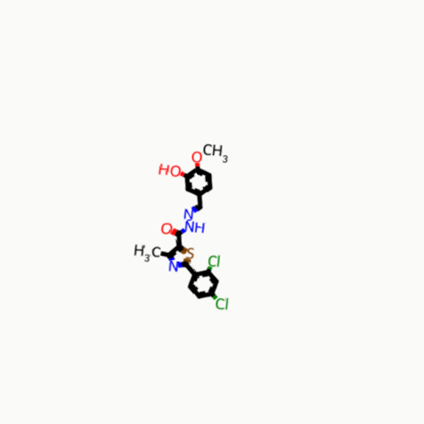 COc1ccc(C=NNC(=O)c2sc(-c3ccc(Cl)cc3Cl)nc2C)cc1O